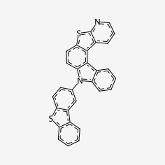 c1ccc2c(c1)sc1ccc(-n3c4ccccc4c4c5c(ccc43)sc3ncccc35)cc12